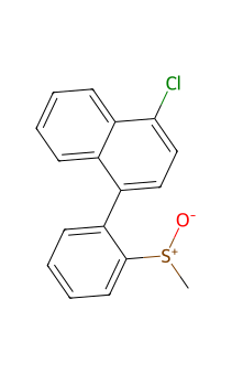 C[S+]([O-])c1ccccc1-c1ccc(Cl)c2ccccc12